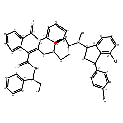 CC[C@H](NC(=O)c1c(CN2CCC(N(C)C3CC(c4ccc(F)cc4)c4c(Cl)cccc43)CC2)n(-c2ccccc2)c(=O)c2ccccc12)c1ccccc1